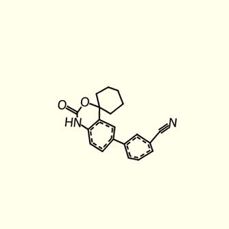 N#Cc1cccc(-c2ccc3c(c2)C2(CCCCC2)OC(=O)N3)c1